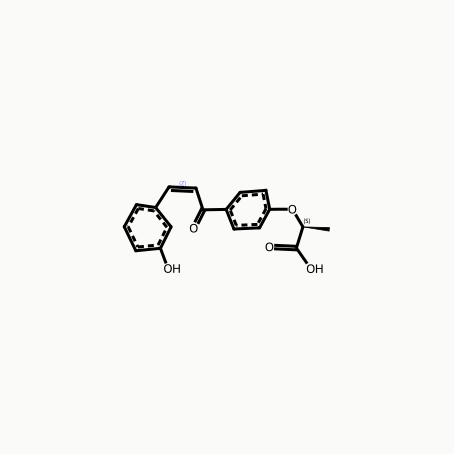 C[C@H](Oc1ccc(C(=O)/C=C\c2cccc(O)c2)cc1)C(=O)O